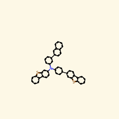 c1cc(-c2ccc3ccccc3c2)cc(N(c2ccc(-c3ccc4c(c3)sc3ccccc34)cc2)c2ccc3c(c2)sc2ccccc23)c1